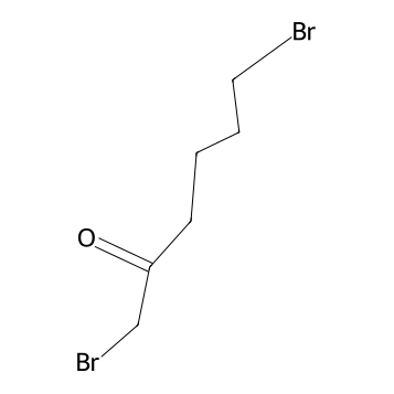 O=C(CBr)CCCCBr